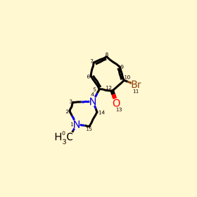 CN1CCN(c2ccccc(Br)c2=O)CC1